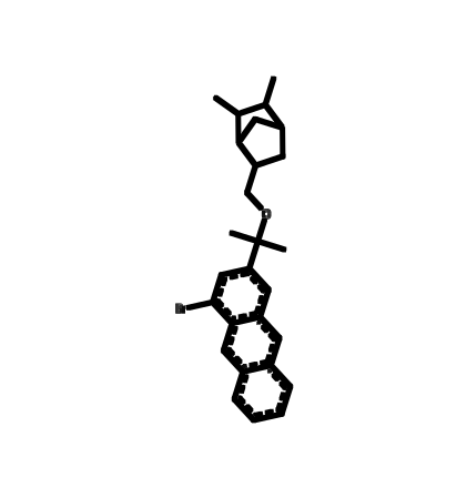 CC1C2CC(COC(C)(C)c3cc(Br)c4cc5ccccc5cc4c3)C(C2)C1C